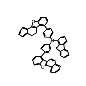 c1ccc2c(c1)CCc1c-2oc2cccc(-c3ccc(N(c4ccc(-c5cccc6oc7c8ccccc8ccc7c56)cc4)c4cccc5c4sc4ccccc45)cc3)c12